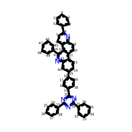 c1ccc(-c2ccc3c(ccc4c5ccc(-c6ccc(-c7nc(-c8ccccc8)nc(-c8ccccc8)n7)cc6)cc5nc(-c5ccccc5)c34)n2)cc1